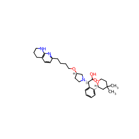 CC1(C)CCO[C@@H](c2ccccc2[C@@H](C(=O)O)N2CC[C@@H](OCCCCc3ccc4c(n3)NCCC4)C2)C1